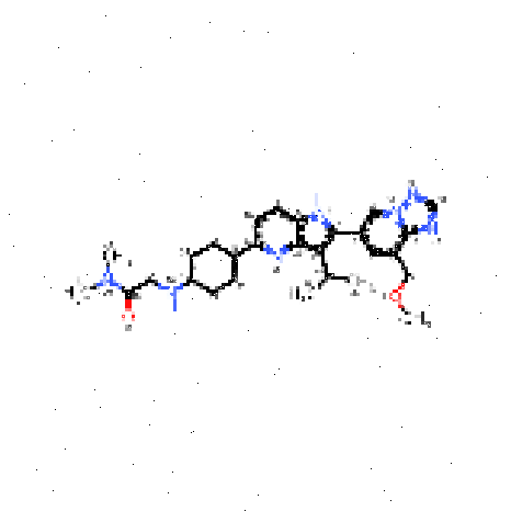 COCc1cc(-c2[nH]c3ccc(C4CCC(NCC(=O)N(C)C)CC4)nc3c2C(C)C)cn2ncnc12